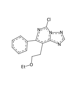 CCOCCc1c(-c2ccccc2)nc(Cl)n2ncnc12